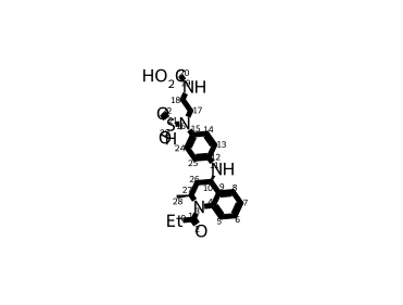 CCC(=O)N1c2ccccc2[C@H](Nc2ccc(N(CCNC(=O)O)[SH](=O)=O)cc2)C[C@@H]1C